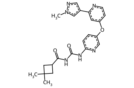 Cn1cc(-c2cc(Oc3ccc(NC(=O)NC(=O)C4CC(C)(C)C4)nc3)ccn2)cn1